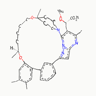 Cc1cc2c(cc1C)-c1cccc(c1)-c1cc3nc(C)c([C@H](OC(C)(C)C)C(=O)O)c(n3n1)N1CCC(C)(CC1)OCCCC[C@H](C)O2